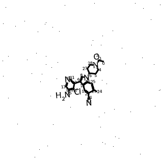 CC(=O)N1CCC(n2cc(-c3cncc(N)c3Cl)c3cc(C#N)c(C)cc32)CC1